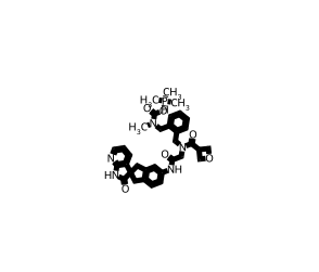 CN(Cc1ccccc1CN(CC(=O)Nc1ccc2c(c1)CC1(C2)C(=O)Nc2ncccc21)C(=O)C1COC1)C(=O)O[PH](C)(C)C